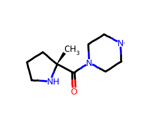 C[C@]1(C(=O)N2CC[N]CC2)CCCN1